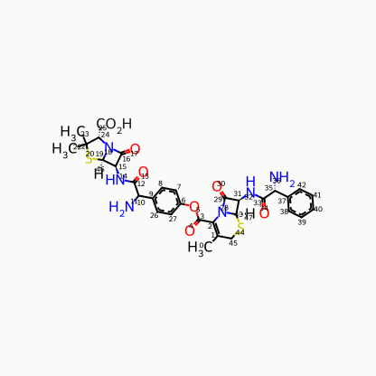 CC1=C(C(=O)Oc2ccc(C(N)C(=O)N[C@@H]3C(=O)N4[C@@H]3SC(C)(C)[C@@H]4C(=O)O)cc2)N2C(=O)[C@@H](NC(=O)[C@H](N)c3ccccc3)[C@H]2SC1